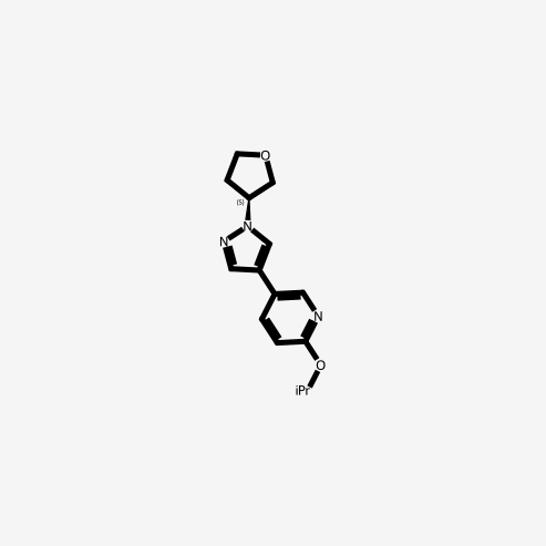 CC(C)Oc1ccc(-c2cnn([C@H]3CCOC3)c2)cn1